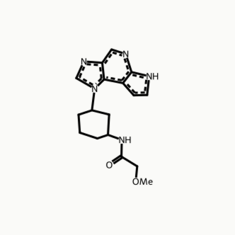 COCC(=O)NC1CCCC(n2cnc3cnc4[nH]ccc4c32)C1